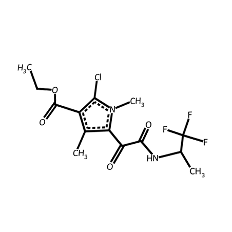 CCOC(=O)c1c(C)c(C(=O)C(=O)NC(C)C(F)(F)F)n(C)c1Cl